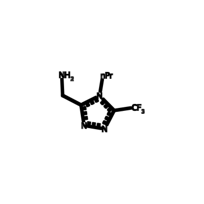 CCCn1c(CN)nnc1C(F)(F)F